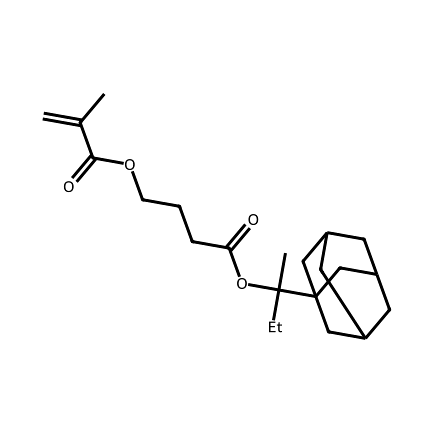 C=C(C)C(=O)OCCCC(=O)OC(C)(CC)C12CC3CC(CC(C3)C1)C2